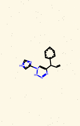 C=CC(C1=CN(c2c[nH]cn2)NN=N1)c1ccccc1